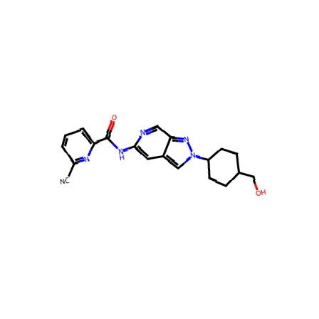 N#Cc1cccc(C(=O)Nc2cc3cn(C4CCC(CO)CC4)nc3cn2)n1